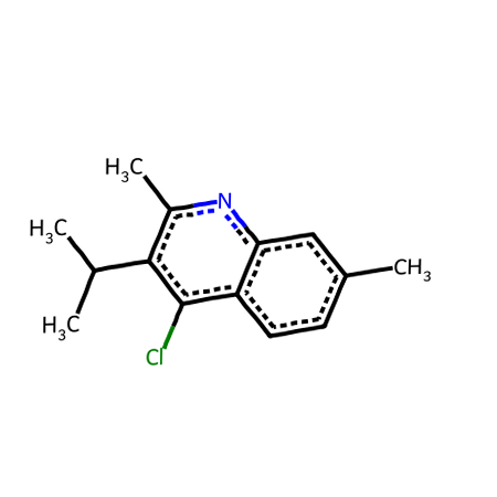 Cc1ccc2c(Cl)c(C(C)C)c(C)nc2c1